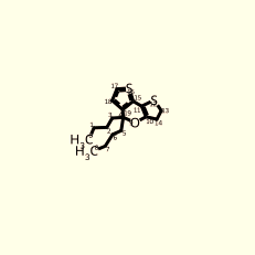 CCCCC1(CCCC)OC2=C(SCC2)c2sccc21